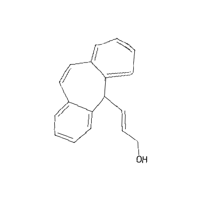 OCC=CC1c2ccccc2C=Cc2ccccc21